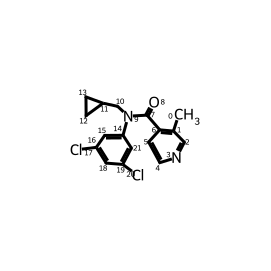 Cc1cnccc1C(=O)N(CC1CC1)c1cc(Cl)cc(Cl)c1